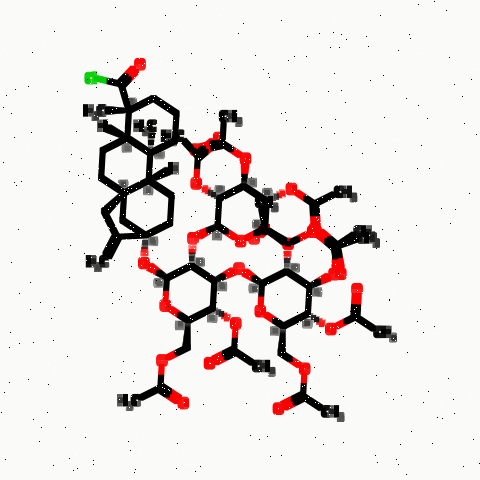 C=C1C[C@@]23CC[C@H]4[C@@](C)(CCC[C@@]4(C)C(=O)Cl)[C@@H]2CC[C@]1(O[C@@H]1O[C@H](COC(C)=O)[C@@H](OC(C)=O)[C@H](O[C@@H]2O[C@H](COC(C)=O)[C@@H](OC(C)=O)[C@H](OC(C)=O)[C@H]2OC(C)=O)[C@H]1O[C@@H]1O[C@H](COC(C)=O)[C@@H](OC(C)=O)[C@H](OC(C)=O)[C@H]1OC(C)=O)C3